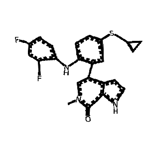 Cn1cc(-c2cc(SC3CC3)ccc2Nc2ccc(F)cc2F)c2cc[nH]c2c1=O